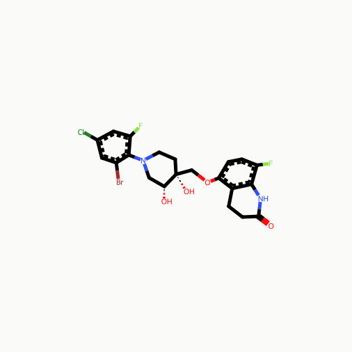 O=C1CCc2c(OC[C@]3(O)CCN(c4c(F)cc(Cl)cc4Br)C[C@H]3O)ccc(F)c2N1